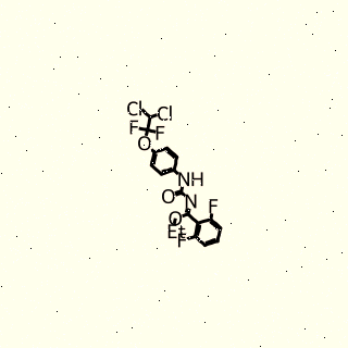 CCOC(=NC(=O)Nc1ccc(OC(F)(F)C(Cl)Cl)cc1)c1c(F)cccc1F